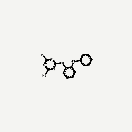 Sc1nc(S)nc(Nc2ccccc2Nc2ccccc2)n1